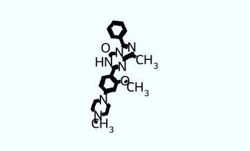 COc1cc(N2CCN(C)CC2)ccc1-c1nc2c(C)nc(-c3ccccc3)n2c(=O)[nH]1